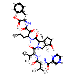 CCCC(NC(=O)C1[C@H]2CCC(=O)[C@H]2CN1C(=O)[C@@H](NC(=O)[C@H](NC(=O)c1cnccn1)C(C)C)C(C)C)C(=O)C(=O)N[C@@H](Cc1ccccc1)C(=O)O